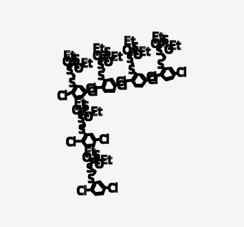 CCOP(=S)(OCC)SCSc1cc(Cl)ccc1Cl.CCOP(=S)(OCC)SCSc1cc(Cl)ccc1Cl.CCOP(=S)(OCC)SCSc1cc(Cl)ccc1Cl.CCOP(=S)(OCC)SCSc1cc(Cl)ccc1Cl.CCOP(=S)(OCC)SCSc1cc(Cl)ccc1Cl.CCOP(=S)(OCC)SCSc1cc(Cl)ccc1Cl